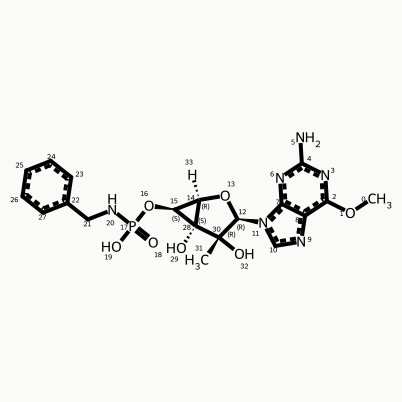 COc1nc(N)nc2c1ncn2[C@@H]1O[C@@H]2[C@H](OP(=O)(O)NCc3ccccc3)[C@]2(O)[C@@]1(C)O